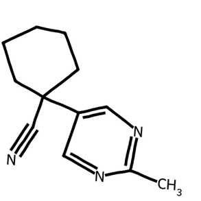 Cc1ncc(C2(C#N)CCCCC2)cn1